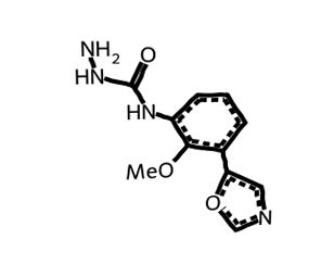 COc1c(NC(=O)NN)cccc1-c1cnco1